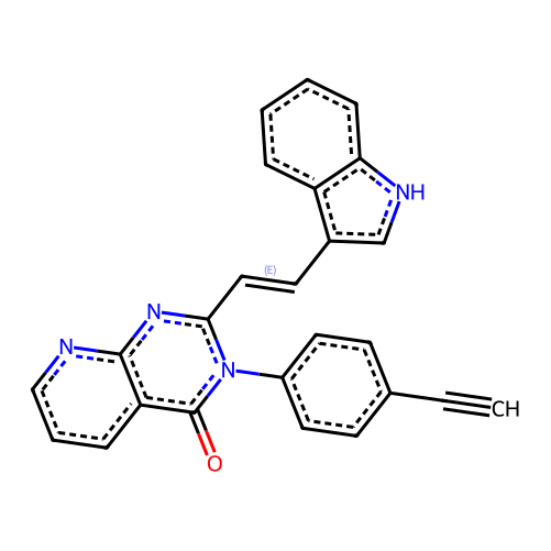 C#Cc1ccc(-n2c(/C=C/c3c[nH]c4ccccc34)nc3ncccc3c2=O)cc1